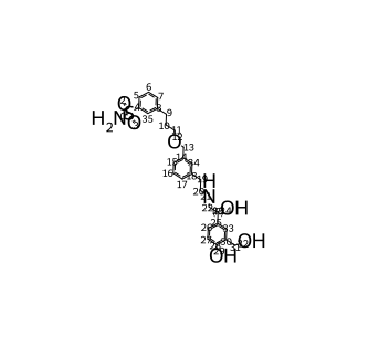 NS(=O)(=O)c1cccc(CCCOCc2cccc(CCNC[C@H](O)c3ccc(O)c(CO)c3)c2)c1